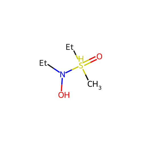 CCN(O)[SH](C)(=O)CC